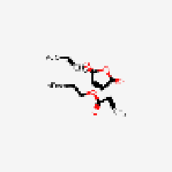 C=CC(=O)OCCCCCCCCCCCC.C=COC(C)=O.O=C1C=CC(=O)O1